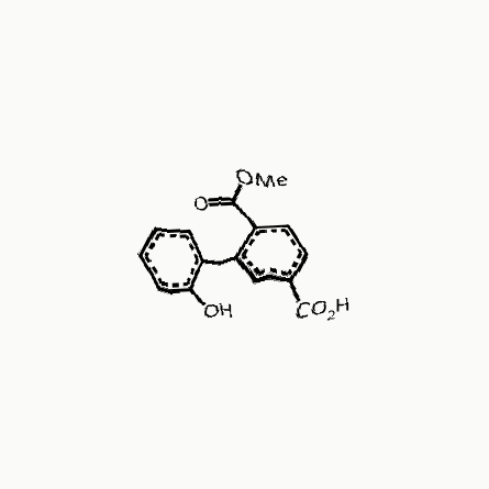 COC(=O)c1ccc(C(=O)O)cc1-c1ccccc1O